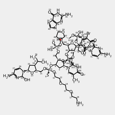 Cc1cn([C@H]2CC(OP(=S)(OCCOCCOCCN)OC[C@H]3O[C@@H](N4C=CC(N)=NC4O)CC3C(C)C)[C@@H](COP(=O)(S)OC3C[C@H](n4cnc5c(=O)[nH]c(N)nc54)O[C@@H]3COP(=O)(S)OC3C[C@H](n4ccc(N)nc4=O)O[C@@H]3COP(=O)(S)OC3C[C@H](n4cc(Br)c(=O)[nH]c4=O)O[C@@H]3CO)O2)c(=O)[nH]c1=O